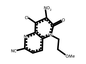 COCCn1c(=O)c([N+](=O)[O-])c(Cl)c2nc(C#N)ccc21